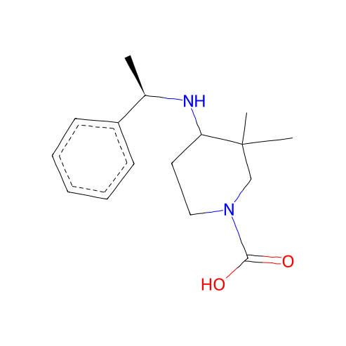 C[C@@H](NC1CCN(C(=O)O)CC1(C)C)c1ccccc1